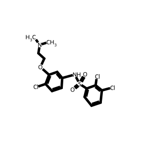 CN(C)CCOc1cc(NS(=O)(=O)c2cccc(Cl)c2Cl)ccc1Cl